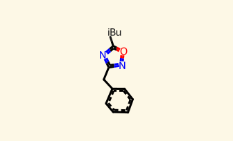 CCC(C)c1nc(Cc2ccccc2)no1